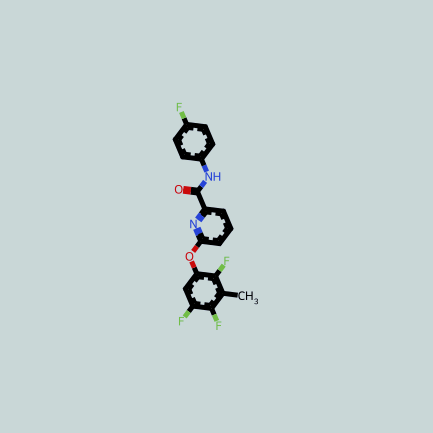 Cc1c(F)c(F)cc(Oc2cccc(C(=O)Nc3ccc(F)cc3)n2)c1F